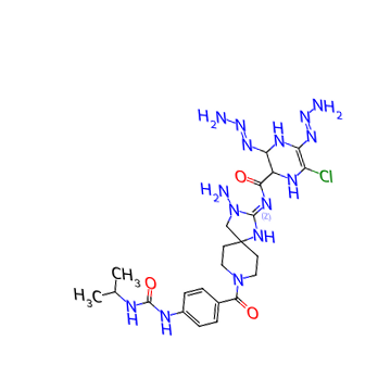 CC(C)NC(=O)Nc1ccc(C(=O)N2CCC3(CC2)CN(N)/C(=N\C(=O)C2NC(Cl)=C(N=NN)NC2N=NN)N3)cc1